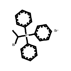 CC(Br)[P+](c1ccccc1)(c1ccccc1)c1ccccc1.[Br-]